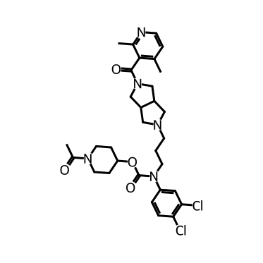 CC(=O)N1CCC(OC(=O)N(CCCN2CC3CN(C(=O)c4c(C)ccnc4C)CC3C2)c2ccc(Cl)c(Cl)c2)CC1